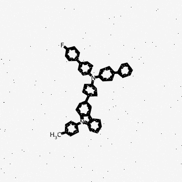 Cc1ccc(-n2c3ccccc3c3cc(-c4ccc(N(c5ccc(-c6ccccc6)cc5)c5ccc(-c6ccc(F)cc6)cc5)cc4)ccc32)cc1